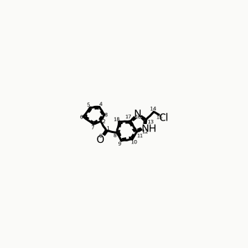 O=C(c1ccccc1)c1ccc2[nH]c(CCl)nc2c1